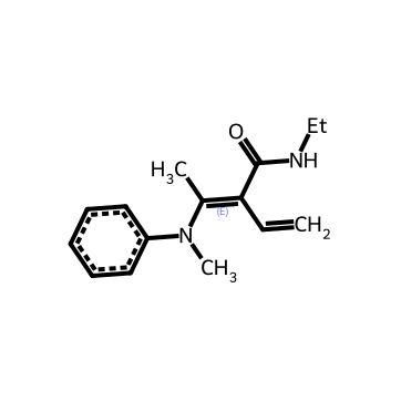 C=C/C(C(=O)NCC)=C(/C)N(C)c1ccccc1